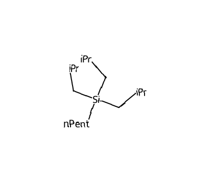 CCCCC[Si](CC(C)C)(CC(C)C)CC(C)C